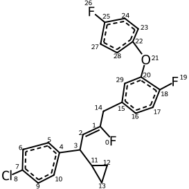 FC(=CC(c1ccc(Cl)cc1)C1CC1)Cc1ccc(F)c(Oc2ccc(F)cc2)c1